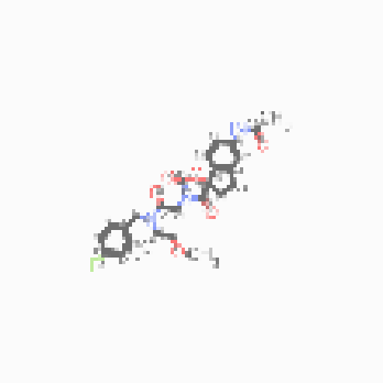 COC[C@H](C)N(Cc1ccc(F)cc1)C(=O)CN1C(=O)OC2(CCc3cc(NC(C)=O)ccc32)C1=O